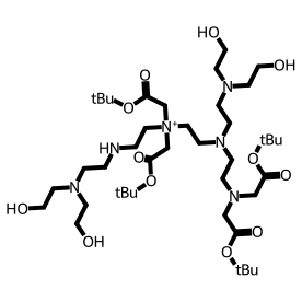 CC(C)(C)OC(=O)CN(CCN(CCN(CCO)CCO)CC[N+](CCNCCN(CCO)CCO)(CC(=O)OC(C)(C)C)CC(=O)OC(C)(C)C)CC(=O)OC(C)(C)C